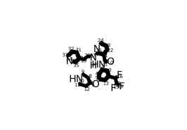 O=C(Nc1cc(OC2CCNCC2)cc(C(F)C(F)F)c1)c1cccnc1NCCc1cccnc1